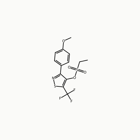 CCS(=O)(=O)Oc1c(-c2ccc(OC)cc2)nsc1C(F)(F)F